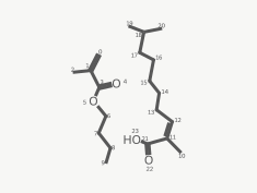 C=C(C)C(=O)OCCCC.CC(=CCCCCCC(C)C)C(=O)O